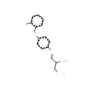 CCC(O)COc1ccc(Oc2ccccc2F)cc1